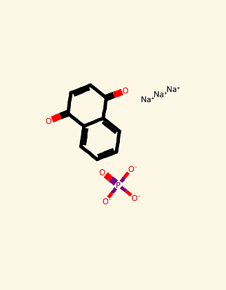 O=C1C=CC(=O)c2ccccc21.O=P([O-])([O-])[O-].[Na+].[Na+].[Na+]